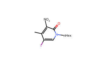 CCCCCCn1cc(I)c(C)c([N+](=O)[O-])c1=O